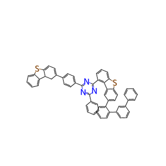 C1=C(c2ccc(-c3nc(-c4ccccc4)nc(-c4cccc5sc6ccc(-c7ccccc7-c7cccc(-c8ccccc8)c7)cc6c45)n3)cc2)CC2C(=C1)Sc1ccccc12